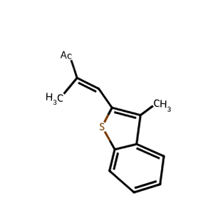 CC(=O)/C(C)=C/c1sc2ccccc2c1C